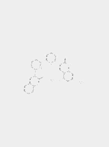 COc1cc(OC)c2cc(-c3cccc(-c4cccc(-c5cc6ccccc6oc5=O)n4)n3)c(=O)oc2c1